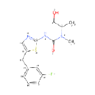 CC(CO)N(C)C(=O)Nc1ncc(Cc2cccc(F)c2)s1